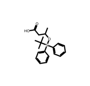 CC(CC(=O)O)O[Si](c1ccccc1)(c1ccccc1)C(C)(C)C